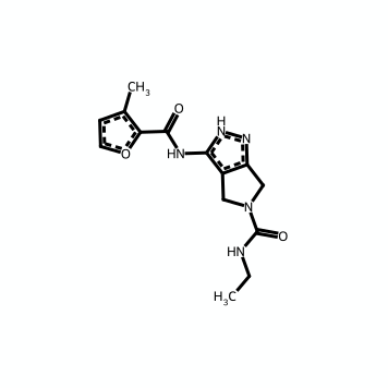 CCNC(=O)N1Cc2n[nH]c(NC(=O)c3occc3C)c2C1